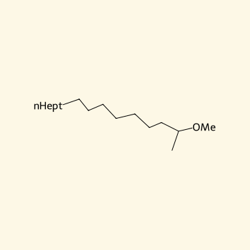 [CH2]CCCCCCCCCCCCCC(C)OC